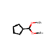 CCCCOC(OCCCC)C1CCCC1